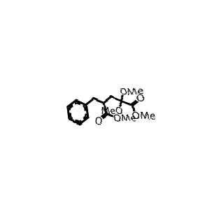 COC(=O)C(Cc1ccccc1)CC(OC)(OC)C(=O)OC